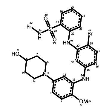 COc1ccc(N2CCC(O)CC2)cc1Nc1ncc(Br)c(Nc2ccccc2S(=O)(=O)NC(C)C)n1